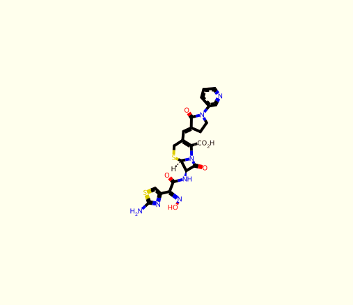 Nc1nc(C(=NO)C(=O)N[C@@H]2C(=O)N3C(C(=O)O)=C(C=C4CCN(c5cccnc5)C4=O)CS[C@H]23)cs1